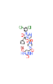 C[C@@]1(Cc2ccc(Br)cc2)C(=O)N(c2cc(Cl)cc(Cl)c2)c2ncc(S(=O)(=O)N3CCN(C(=O)C4CC(=O)NC(=O)N4)CC3)n21